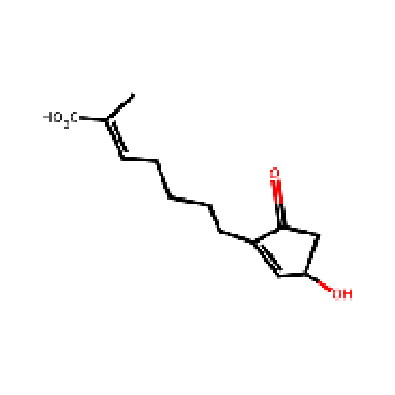 CC(=CCCCCC1=CC(O)CC1=O)C(=O)O